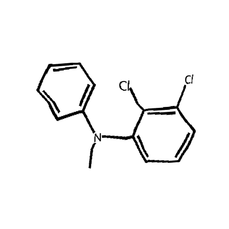 CN(c1ccccc1)c1cccc(Cl)c1Cl